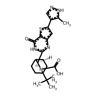 Cc1[nH]ncc1-c1cc2nc([C@@H]3C4CCC(C(C)(C)C)(CC4)N3C(=O)O)[nH]c(=O)c2s1